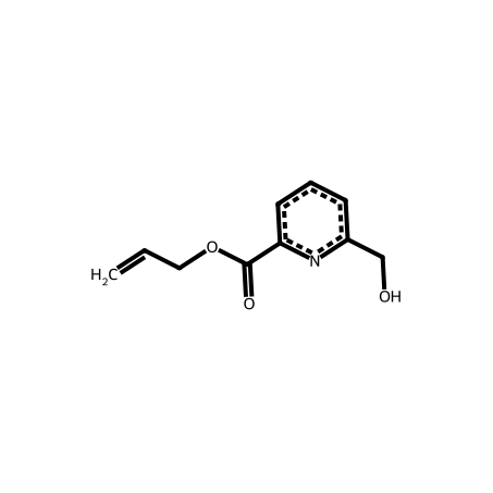 C=CCOC(=O)c1cccc(CO)n1